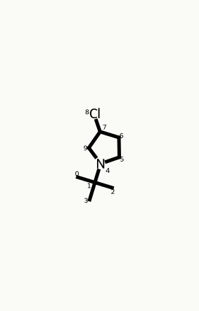 CC(C)(C)N1CCC(Cl)C1